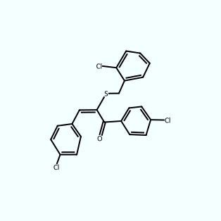 O=C(/C(=C\c1ccc(Cl)cc1)SCc1ccccc1Cl)c1ccc(Cl)cc1